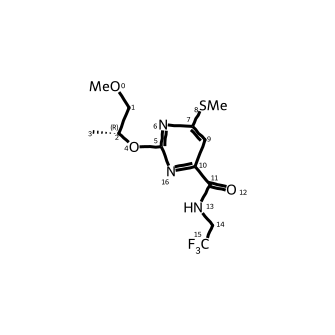 COC[C@@H](C)Oc1nc(SC)cc(C(=O)NCC(F)(F)F)n1